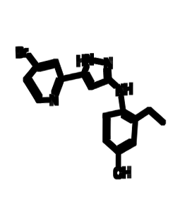 CCc1cc(O)ccc1Nc1cc(-c2cc(Br)ccn2)[nH]n1